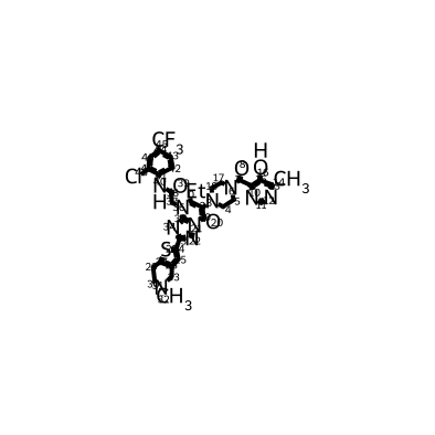 CCc1c(N2CCN(C(=O)c3ncnc(C)c3O)CC2)c(=O)n2nc(-c3cc4c(s3)CCN(C)C4)nc2n1CC(=O)Nc1ccc(C(F)(F)F)cc1Cl